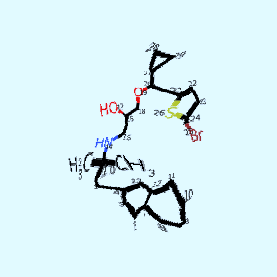 CC(C)(Cc1ccc2ccccc2c1)NC[C@@H](O)COC(c1ccc(Br)s1)C1CC1